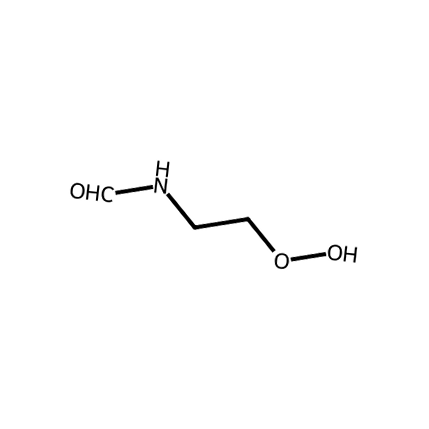 O=CNCCOO